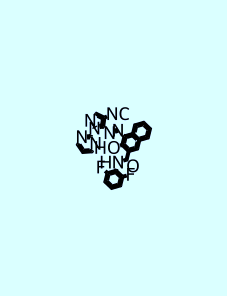 [C-]#[N+]c1cnn(-c2ncccn2)c1/N=N/c1c(O)c(C(=O)Nc2c(F)cccc2F)cc2ccccc12